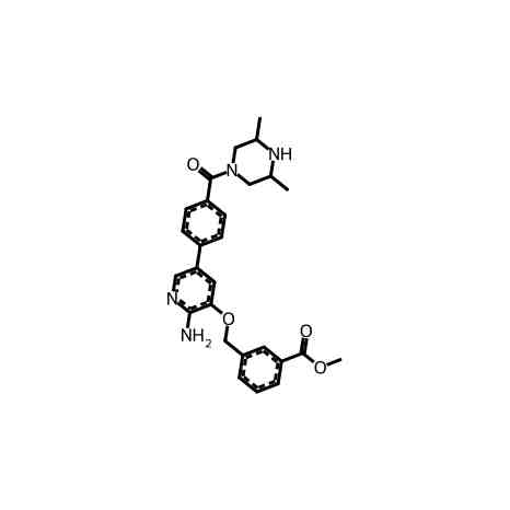 COC(=O)c1cccc(COc2cc(-c3ccc(C(=O)N4CC(C)NC(C)C4)cc3)cnc2N)c1